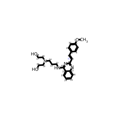 COc1ccc(/C=C/c2nc(NCCCN(CCO)CCO)c3ccccc3n2)cc1